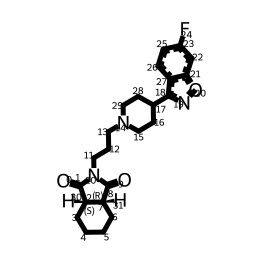 O=C1[C@H]2CCCC[C@H]2C(=O)N1CCCN1CCC(c2noc3cc(F)ccc23)CC1